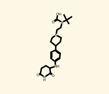 CC(C)(C)N(CCN1CCC(c2ccc(NC3CCC(=O)NC3=O)cc2)CC1)C(=O)O